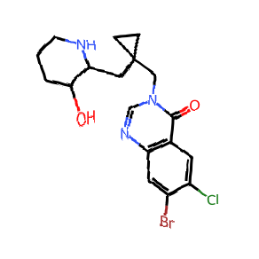 O=c1c2cc(Cl)c(Br)cc2ncn1CC1(CC2NCCCC2O)CC1